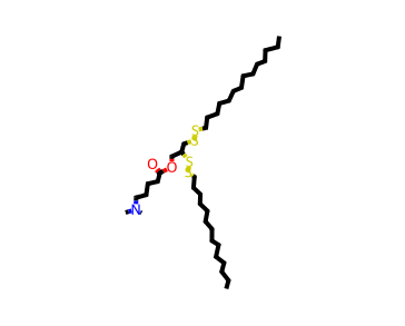 CCCCCCCCCCCCCCSSCC(COC(=O)CCCCN(C)C)SSCCCCCCCCCCCCCC